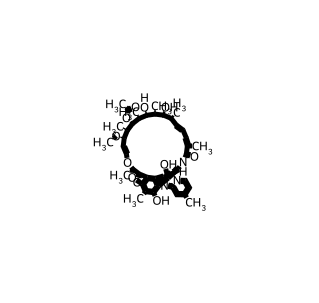 CO[C@H]1/C=C/O[C@@]2(C)Oc3c(C)c(O)c4c(O)c(c5c(nc6cc(C)ccn65)c4c3C2=O)NC(=O)/C(C)=C\C=C\[C@H](C)[C@H](O)[C@@H](C)[C@@H](O)[C@@H](C)[C@H](OC(C)=O)[C@H]1C